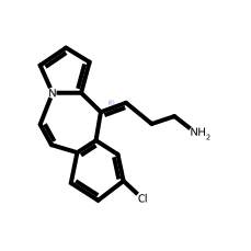 NCC/C=C1\c2cc(Cl)ccc2C=Cn2cccc21